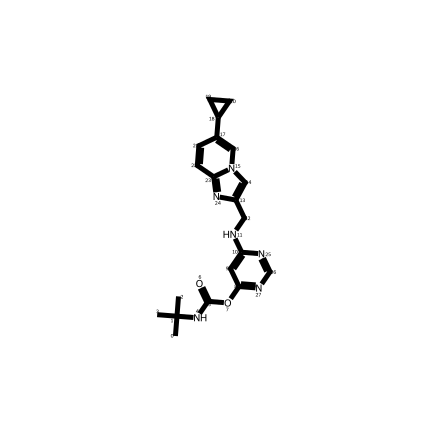 CC(C)(C)NC(=O)Oc1cc(NCc2cn3cc(C4CC4)ccc3n2)ncn1